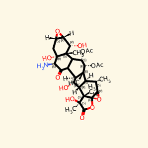 CC(=O)O[C@H]1C2C(C(=O)[C@@H](N)[C@@]3(O)C[C@@H]4O[C@@H]4[C@H](O)[C@]23C)[C@@H]2[C@@H](O)[C@@H]3[C@H]([C@H](C)[C@H]4O[C@]45OC(=O)[C@@](C)(O)[C@]35C)[C@@]2(C)[C@H]1OC(C)=O